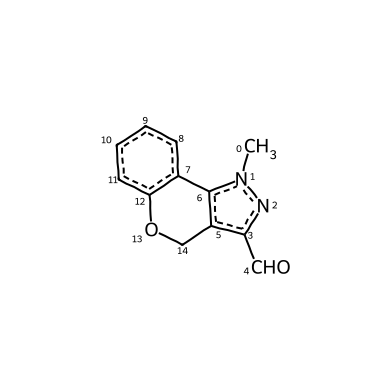 Cn1nc(C=O)c2c1-c1ccccc1OC2